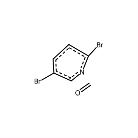 Brc1ccc(Br)nc1.C=O